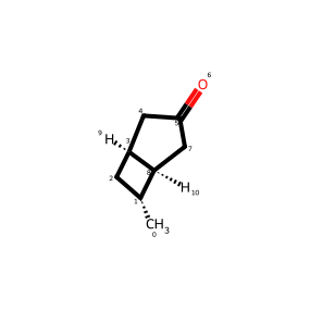 C[C@@H]1C[C@H]2CC(=O)C[C@H]21